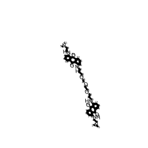 CN(C)CCNc1cccc2c1C(=O)c1cccc(NCCCOCCOCCOCCCNc3cccc4c3C(=O)c3cccc(NCCN(C)C)c3C4=O)c1C2=O